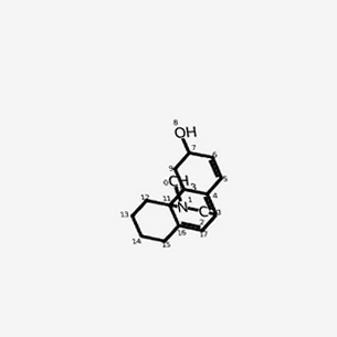 CN1CC2=C3C=CC(O)CC3C13CCCCC3=C2